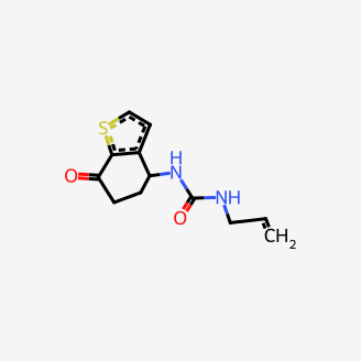 C=CCNC(=O)NC1CCC(=O)c2sccc21